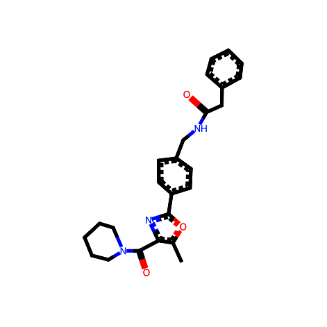 Cc1oc(-c2ccc(CNC(=O)Cc3ccccc3)cc2)nc1C(=O)N1CCCCC1